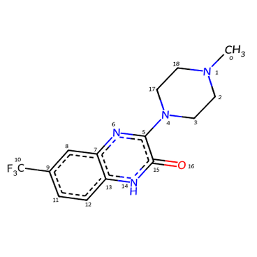 CN1CCN(c2nc3cc(C(F)(F)F)ccc3[nH]c2=O)CC1